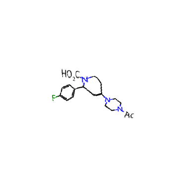 CC(=O)N1CCN(C2CCN(C(=O)O)C(c3ccc(F)cc3)C2)CC1